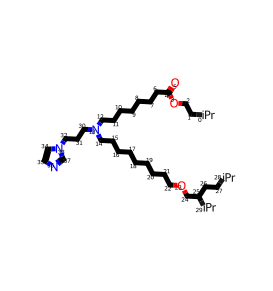 CC(C)CCOC(=O)CCCCCCCN(CCCCCCCCCOCC(CCC(C)C)C(C)C)CCCn1ccnc1